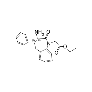 CCOC(=O)CN1C(=O)[C@H](N)[C@@H](c2ccccc2)Cc2ccccc21